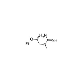 C=C(CN(C)C(=N)N)OCC